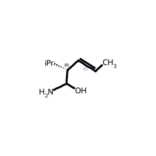 C/C=C/[C@@H](C(C)C)C(N)O